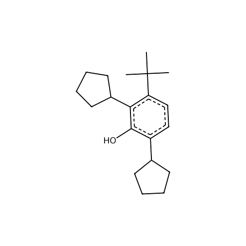 CC(C)(C)c1ccc(C2CCCC2)c(O)c1C1CCCC1